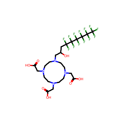 O=C(O)CN1CCN(CC(=O)O)CCN(CC(O)CC(F)(F)C(F)(F)C(F)(F)C(F)(F)C(F)(F)C(F)(F)F)CCN(CC(=O)O)CC1